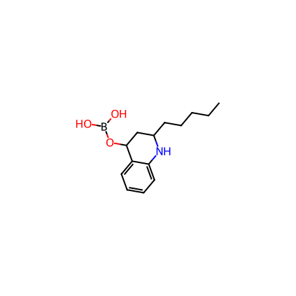 CCCCCC1CC(OB(O)O)c2ccccc2N1